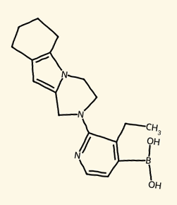 CCc1c(B(O)O)ccnc1N1CCn2c(cc3c2CCCC3)C1